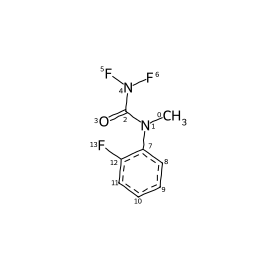 CN(C(=O)N(F)F)c1ccccc1F